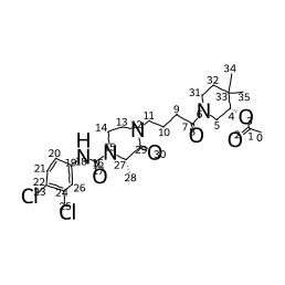 CC(=O)O[C@@H]1CN(C(=O)CCCN2CCN(C(=O)Nc3ccc(Cl)c(Cl)c3)[C@@H](C)C2=O)CCC1(C)C